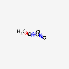 CCOc1ccc(/N=N/c2ccc(/N=N/c3ccccc3)c3ccccc23)cc1